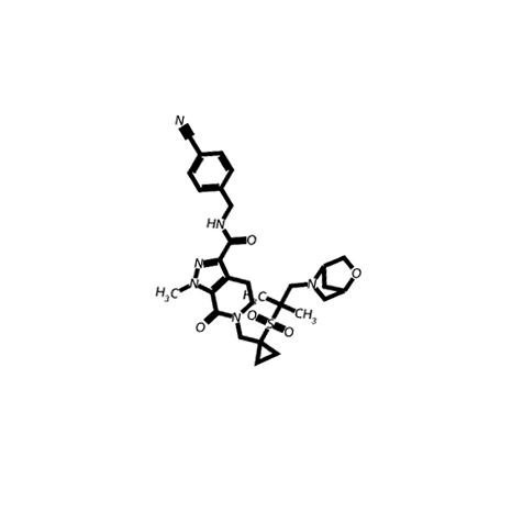 Cn1nc(C(=O)NCc2ccc(C#N)cc2)c2c1C(=O)N(CC1(S(=O)(=O)C(C)(C)CN3CC4CC3CO4)CC1)CC2